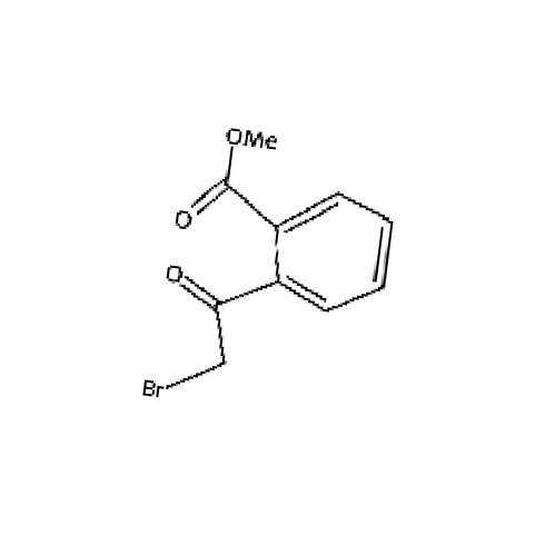 COC(=O)c1ccccc1C(=O)CBr